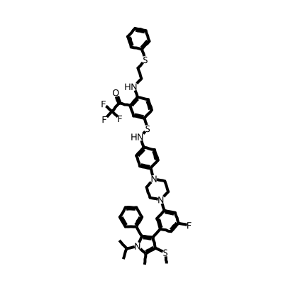 CSc1c(-c2cc(F)cc(N3CCN(c4ccc(NSc5ccc(NCCSc6ccccc6)c(C(=O)C(F)(F)F)c5)cc4)CC3)c2)c(-c2ccccc2)n(C(C)C)c1C